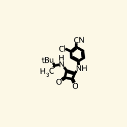 CC(Nc1c(Nc2ccc(C#N)c(Cl)c2)c(=O)c1=O)C(C)(C)C